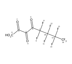 O=C(O)C(=O)C(=O)C(=O)C(F)(F)C(F)(F)C(F)(F)C(F)(F)F